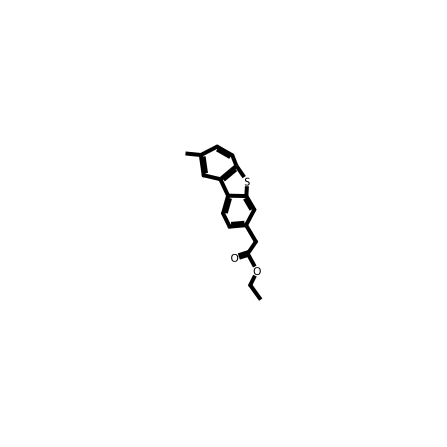 CCOC(=O)Cc1ccc2c(c1)sc1ccc(C)cc12